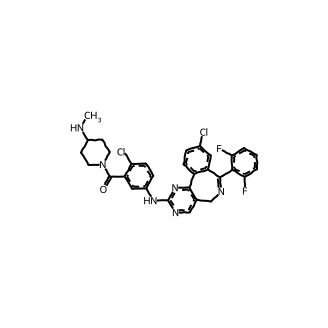 CNC1CCN(C(=O)c2cc(Nc3ncc4c(n3)-c3ccc(Cl)cc3C(c3c(F)cccc3F)=NC4)ccc2Cl)CC1